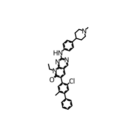 CCn1c(=O)c(-c2cc(C)c(-c3ccccc3)cc2Cl)cc2cnc(Nc3ccc(C4CCN(C)CC4)cc3)nc21